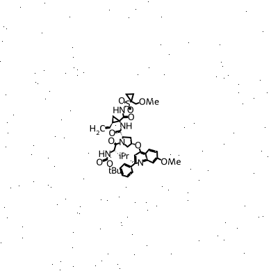 C=C[C@H]1C[C@]1(NC(=O)[C@@H]1C[C@@H](Oc2cc(-c3ccccc3)nc3cc(OC)ccc23)CN1C(=O)[C@@H](NC(=O)OC(C)(C)C)C(C)C)C(=O)NS(=O)(=O)C1(COC)CC1